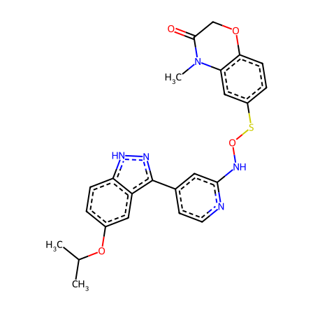 CC(C)Oc1ccc2[nH]nc(-c3ccnc(NOSc4ccc5c(c4)N(C)C(=O)CO5)c3)c2c1